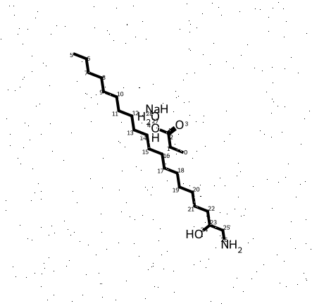 CCC(=O)O.CCCCCCCCCCCCCCCCCCC(O)CN.O.[NaH]